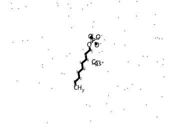 CCCCCCCCCOP(=O)([O-])[O-].[Cs+].[Cs+]